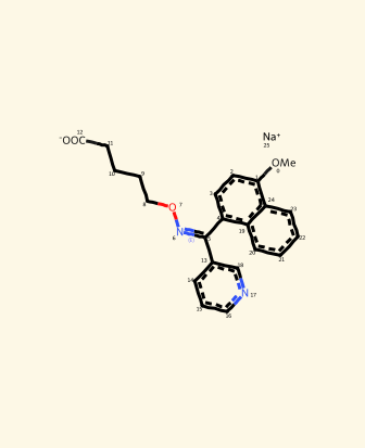 COc1ccc(/C(=N\OCCCCC(=O)[O-])c2cccnc2)c2ccccc12.[Na+]